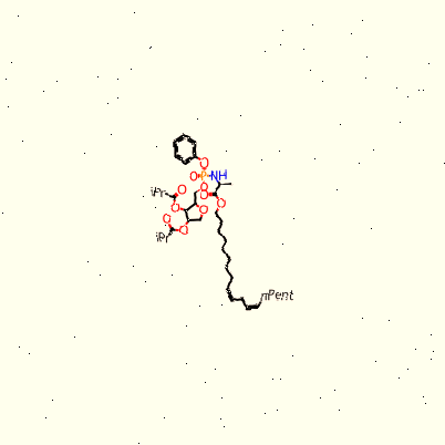 CCCCC/C=C\C/C=C\CCCCCCCCOC(=O)[C@H](C)NP(=O)(OCC1OCC(OC(=O)C(C)C)C1OC(=O)C(C)C)Oc1ccccc1